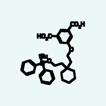 CC(C)(C)[Si](OCCC1(CCOc2cc(C(=O)O)cc(C(=O)O)c2)CCCCC1)(c1ccccc1)c1ccccc1